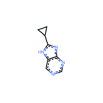 c1ncc2[nH]c(C3CC3)nc2n1